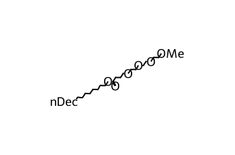 CCCCCCCCCCCCCCCCCCOC(=O)CCCOCCOCCOCCOC